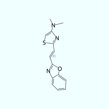 CN(C)c1csc(/C=C/c2nc3ccccc3o2)n1